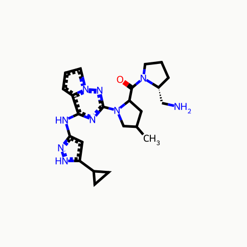 CC1CC(C(=O)N2CCC[C@@H]2CN)N(c2nc(Nc3cc(C4CC4)[nH]n3)c3cccn3n2)C1